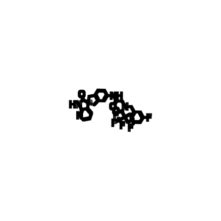 O=C(CN(Cc1cc(F)cc(F)c1)C(=O)C1(C(F)(F)F)CCC1)Nc1ccc2c(c1)C[C@@]1(C2)C(=O)Nc2ncccc21